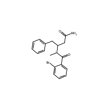 CN(C(=O)c1ccccc1Br)C(CC(N)=O)Cc1ccccc1